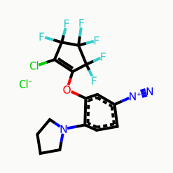 N#[N+]c1ccc(N2CCCC2)c(OC2=C(Cl)C(F)(F)C(F)(F)C2(F)F)c1.[Cl-]